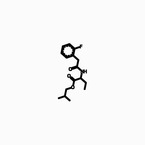 CCC(NC(=O)Cc1ccccc1F)C(=O)OCC(C)C